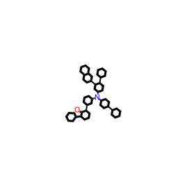 c1ccc(-c2ccc(N(c3cccc(-c4cccc5c4oc4ccccc45)c3)c3ccc(-c4ccccc4)c(-c4ccc5ccccc5c4)c3)cc2)cc1